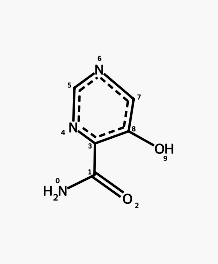 NC(=O)c1ncncc1O